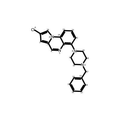 Clc1cc2cnc3c(N4CCN(Cc5ccccc5)CC4)cccc3n2c1